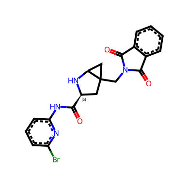 O=C(Nc1cccc(Br)n1)[C@@H]1CC2(CN3C(=O)c4ccccc4C3=O)CC2N1